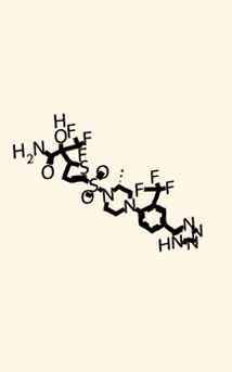 C[C@@H]1CN(c2ccc(-c3nnn[nH]3)cc2C(F)(F)F)CCN1S(=O)(=O)C1=CCC(C(O)(C(N)=O)C(F)(F)F)S1